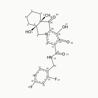 C[C@]12CCCC[C@@]1(O)Cn1cc(C(=O)NCc3ccc(F)cc3F)c(=O)c(O)c1C2=O